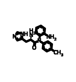 Cc1ccc(N(C(=O)[C@@H](N)Cc2cnc[nH]2)c2ccccc2N)cc1